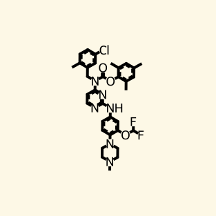 Cc1cc(C)c(OC(=O)N(Cc2cc(Cl)ccc2C)c2ccnc(Nc3ccc(N4CCN(C)CC4)c(OC(F)F)c3)n2)c(C)c1